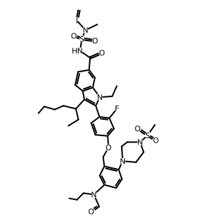 C=IN(C)S(=O)(=O)NC(=O)c1ccc2c(C(CC)CCCC)c(-c3ccc(OCc4cc(N(C=O)CCC)ccc4N4CCN(S(C)(=O)=O)CC4)cc3F)n(CC)c2c1